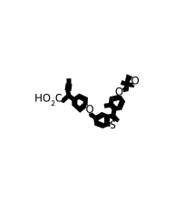 CC#CC(CC(=O)O)c1ccc(OCc2ccc3scc(-c4ccc(OCC5(C)COC5)cc4C)c3c2)cc1